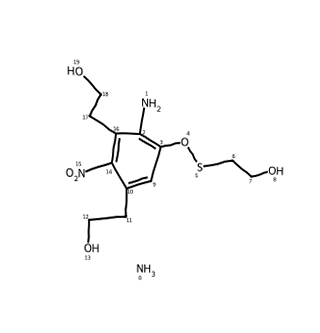 N.Nc1c(OSCCO)cc(CCO)c([N+](=O)[O-])c1CCO